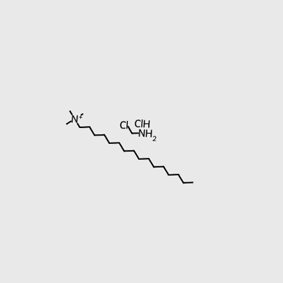 CCCCCCCCCCCCCCCC[N+](C)(C)C.Cl.NCCl